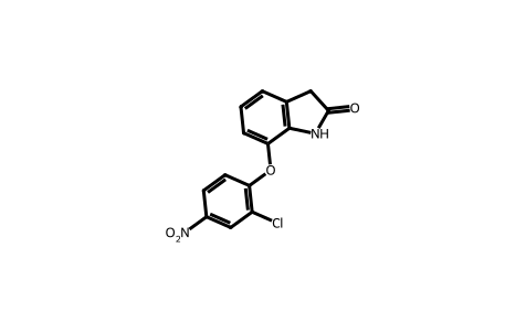 O=C1Cc2cccc(Oc3ccc([N+](=O)[O-])cc3Cl)c2N1